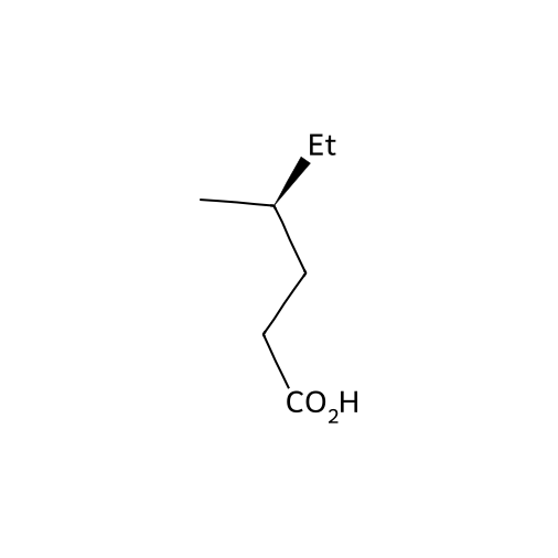 CC[C@H](C)CCC(=O)O